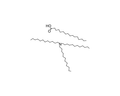 CCCCCCCCCCCCCCCC(=O)O.CCCCCCCCCCCCN(CCCCCCCCCCCC)CCCCCCCCCCCC